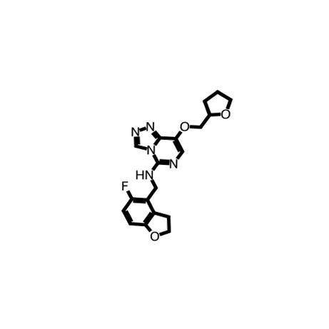 Fc1ccc2c(c1CNc1ncc(OCC3CCCO3)c3nncn13)CCO2